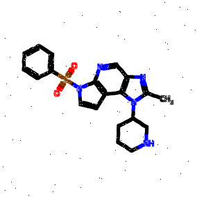 Cc1nc2cnc3c(ccn3S(=O)(=O)c3ccccc3)c2n1C1CCCNC1